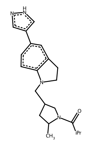 CC(C)C(=O)N1CC(CN2CCc3cc(-c4cn[nH]c4)ccc32)CC1C